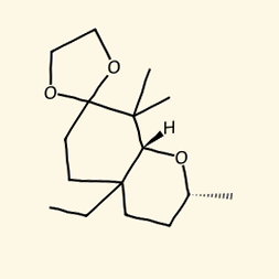 CCC12CC[C@@H](C)O[C@H]1C(C)(C)C1(CC2)OCCO1